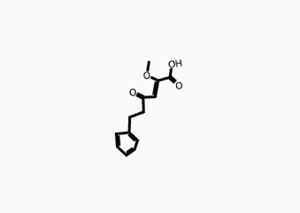 CO/C(=C\C(=O)CCc1ccccc1)C(=O)O